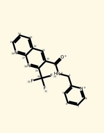 O=C(NCc1ccccn1)c1cc2cccnc2nc1C(F)(F)F